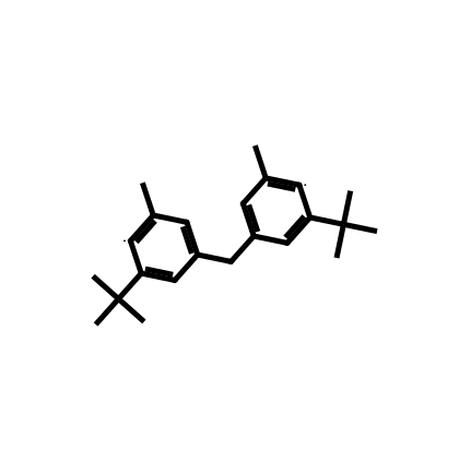 Cc1[c]c(C(C)(C)C)cc(Cc2cc(C)[c]c(C(C)(C)C)c2)c1